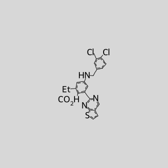 CCc1cc(NCc2ccc(Cl)c(Cl)c2)cc(-c2ncc3ccsc3n2)c1C(=O)O